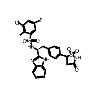 Cc1c(Cl)cc(F)cc1S(=O)(=O)N[C@@H](Cc1ccc(C2CC(=O)NS2(=O)=O)cc1)c1nc2ccccc2[nH]1